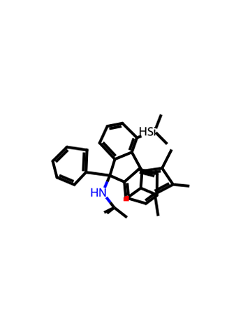 CC1=C(C)C(C)C(c2c([SiH](C)C)cccc2C(NC(C)(C)C)(c2ccccc2)c2ccccc2)=C1C